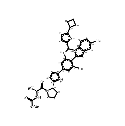 COC(=O)N[C@H](C(=O)N1CCC[C@H]1c1ncc(-c2cc(F)c3c(c2)OC(c2ccc(C4CCC4)s2)n2c-3cc3cc(Cl)ccc32)[nH]1)C(C)C